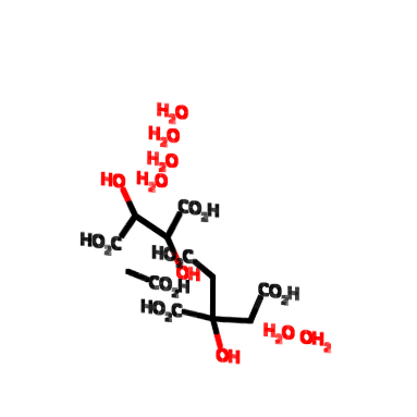 CC(=O)O.O.O.O.O.O.O.O=C(O)C(O)C(O)C(=O)O.O=C(O)CC(O)(CC(=O)O)C(=O)O